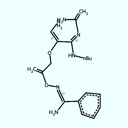 C=C(N)/N=C(NCCCC)\C(=C/N)OCC(=C)O/N=C(\N)c1ccccc1